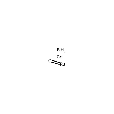 [BiH3].[Gd].[O]=[Ru]